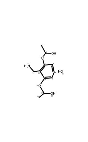 CC(O)Oc1cccc(OC(C)O)c1CN.Cl